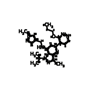 CCCOc1nnccc1-c1cc(NCc2cnn(C)c2)c2c(n1)c(C)nn2C(C)C